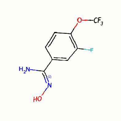 N/C(=N\O)c1ccc(OC(F)(F)F)c(F)c1